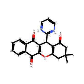 CC1(C)CC(=O)C2=C(C1)OC1=C(C(=O)c3ccccc3C1=O)C2c1ncccn1